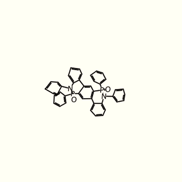 O=P1(c2ccccc2)c2cc3c(cc2-c2ccccc2N1c1ccccc1)P(=O)(c1ccccc1)N(c1ccccc1)c1ccccc1-3